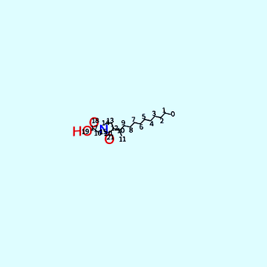 CCCCCCCCCCC(C)C1CCN(CC(=O)O)C1=O